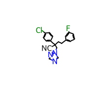 N#CC(CCc1cccc(F)c1)(Cn1cncn1)c1ccc(Cl)cc1